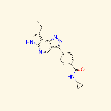 CCc1c[nH]c2ncc3c(-c4ccc(C(=O)NC5CC5)cc4)nn(C)c3c12